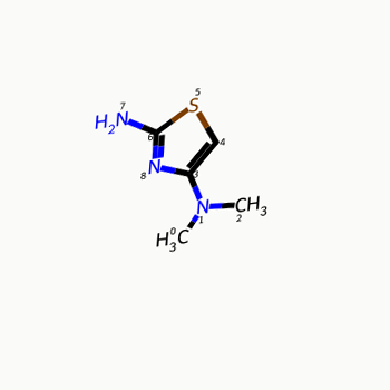 CN(C)c1csc(N)n1